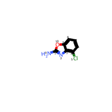 Nc1nc2c(Cl)cccc2o1